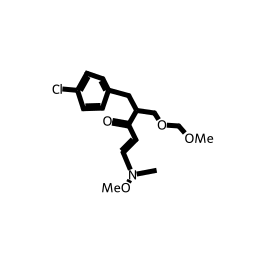 COCOCC(Cc1ccc(Cl)cc1)C(=O)/C=C/N(C)OC